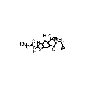 C[C@H]1C2C(=O)c3cc4sc(NC(=O)OC(C)(C)C)nc4cc3[C@]1(C)CCN2CC1CC1